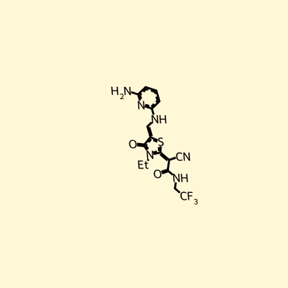 CCn1c(=C(C#N)C(=O)NCC(F)(F)F)sc(=CNc2cccc(N)n2)c1=O